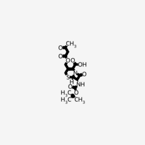 CC(=O)CC(=O)OCC1=C(C(=O)O)N2C(=O)[C@H](NC(=O)OC(C)(C)C)[C@@H]2SC1